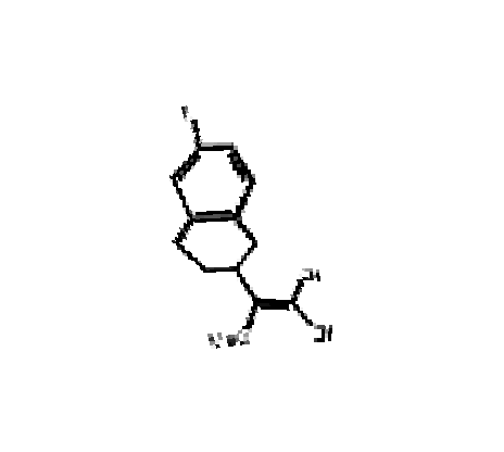 COC(=C(C#N)C#N)C1CCc2cc(F)ccc2C1